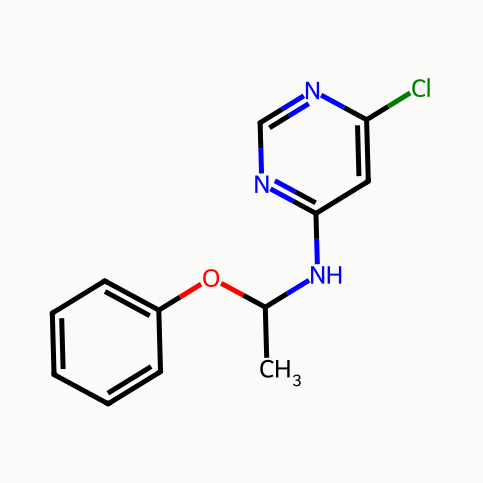 CC(Nc1cc(Cl)ncn1)Oc1ccccc1